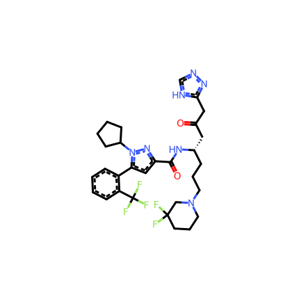 O=C(Cc1nnc[nH]1)C[C@H](CCCN1CCCC(F)(F)C1)NC(=O)c1cc(-c2ccccc2C(F)(F)F)n(C2CCCC2)n1